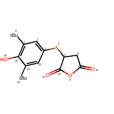 CC(C)(C)c1cc(SC2CC(=O)OC2=O)cc(C(C)(C)C)c1O